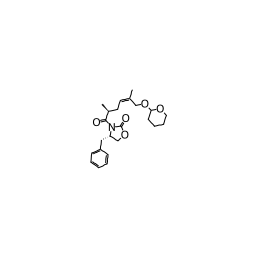 C/C(=C/C[C@H](C)C(=O)N1C(=O)OC[C@@H]1Cc1ccccc1)COC1CCCCO1